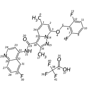 Cc1cc(OCc2c(F)cccc2F)n2nc(C)c(C(=O)Nc3ccnc4ccc(F)cc34)c2c1.O=C(O)C(F)(F)F